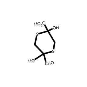 O=CC1(O)CSC(O)(C(=O)O)CS1